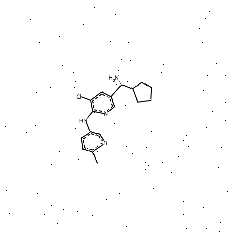 Cc1ccc(Nc2ncc([C@H](N)C3CCCC3)cc2Cl)cn1